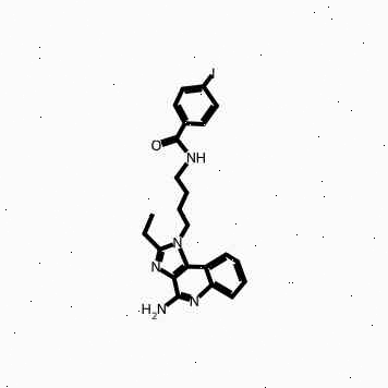 CCc1nc2c(N)nc3ccccc3c2n1CCCCNC(=O)c1ccc(I)cc1